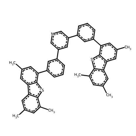 Cc1cc(C)c2sc3c(-c4cccc(-c5cncc(-c6cccc(-c7cc(C)cc8c7sc7c(C)cc(C)cc78)c6)c5)c4)cc(C)cc3c2c1